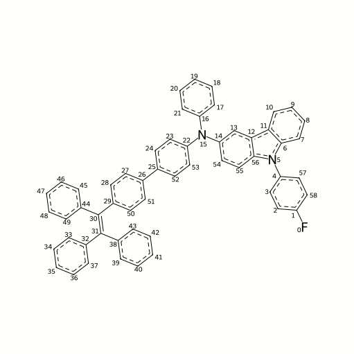 Fc1ccc(-n2c3ccccc3c3cc(N(c4ccccc4)c4ccc(-c5ccc(C(=C(c6ccccc6)c6ccccc6)c6ccccc6)cc5)cc4)ccc32)cc1